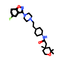 CC1(C)C[C@@](C)(CC(=O)N[C@H]2CC[C@H](CCN3CCN(c4noc5ccc(F)cc45)CC3)CC2)CCO1